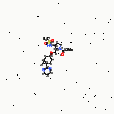 COC(=O)N1CC[C@H](NS(C)(=O)=O)[C@@H]1COC1CCC2(c3ncccn3)CC2C1